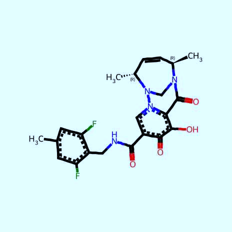 Cc1cc(F)c(CNC(=O)c2cn3c(c(O)c2=O)C(=O)N2CN3[C@H](C)C=C[C@H]2C)c(F)c1